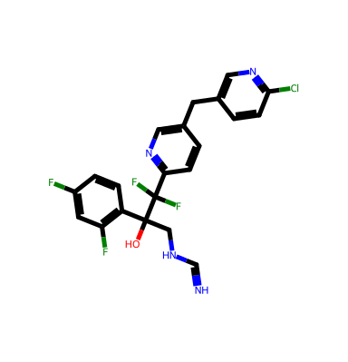 N=CNCC(O)(c1ccc(F)cc1F)C(F)(F)c1ccc(Cc2ccc(Cl)nc2)cn1